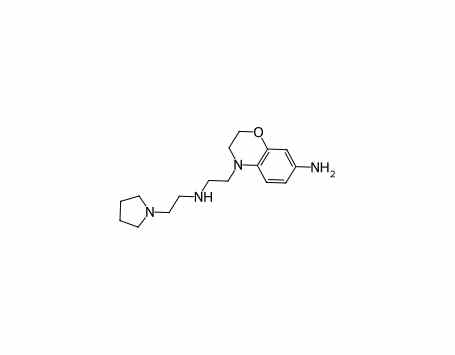 Nc1ccc2c(c1)OCCN2CCNCCN1CCCC1